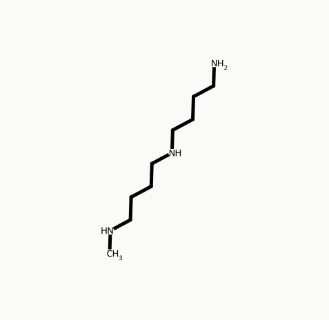 CNCCCCNCCCCN